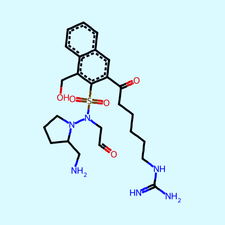 N=C(N)NCCCCCC(=O)c1cc2ccccc2c(CO)c1S(=O)(=O)N(CC=O)N1CCCC1CN